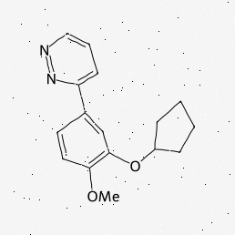 COc1ccc(-c2cccnn2)cc1OC1CCCC1